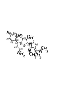 C=Nc1c(/C(C)=N\C)ccn1[C@H]1C[C@H]([C@H](CCN)c2ccc(F)cc2)[C@@H](O)[C@H]1O